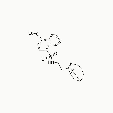 CCOc1ccc(S(=O)(=O)NCCC2C3CC4CC(C3)CC2C4)c2ccccc12